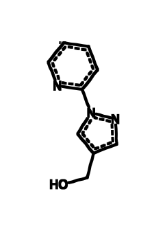 OCc1cnn(-c2cc[c]cn2)c1